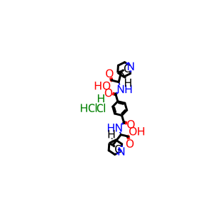 Cl.Cl.O=C(N[C@@H](C(=O)O)[C@H]1CN2CCC1CC2)c1ccc(C(=O)N[C@@H](C(=O)O)[C@H]2CN3CCC2CC3)cc1